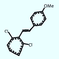 COc1ccc(C=Cc2c(Cl)cccc2Cl)cc1